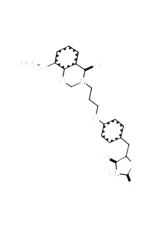 COc1cccc2c1OCN(CCCOc1ccc(CC3SC(=O)NC3=O)cc1)C2=O